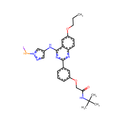 CCCOc1ccc2nc(-c3cccc(OCC(=O)NC(C)(C)C)c3)nc(Nc3cnn(PI)c3)c2c1